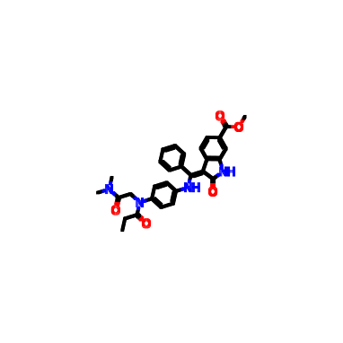 CCC(=O)N(CC(=O)N(C)C)c1ccc(N/C(=C2\C(=O)Nc3cc(C(=O)OC)ccc32)c2ccccc2)cc1